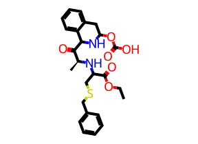 CCOC(=O)C(CSCc1ccccc1)N[C@@H](C)C(=O)C1NC(OC(=O)O)Cc2ccccc21